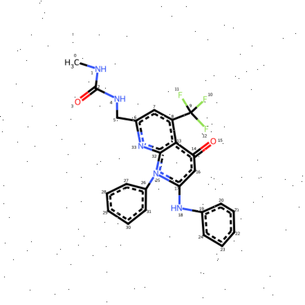 CNC(=O)NCc1cc(C(F)(F)F)c2c(=O)cc(Nc3ccccc3)n(-c3ccccc3)c2n1